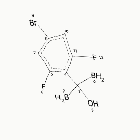 BC(B)(O)c1c(F)cc(Br)cc1F